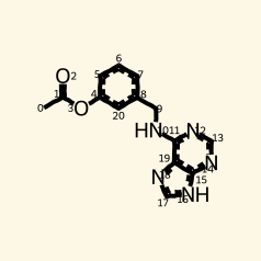 CC(=O)Oc1cccc(CNc2ncnc3[nH]cnc23)c1